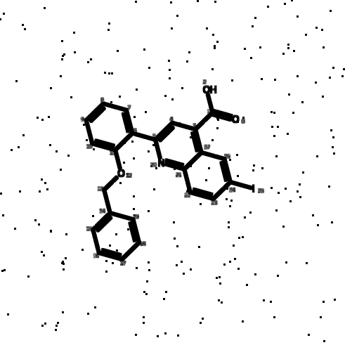 O=C(O)c1cc(-c2ccccc2OCc2ccccc2)nc2ccc(I)cc12